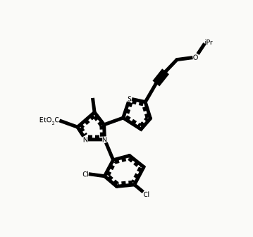 CCOC(=O)c1nn(-c2ccc(Cl)cc2Cl)c(-c2ccc(C#CCOC(C)C)s2)c1C